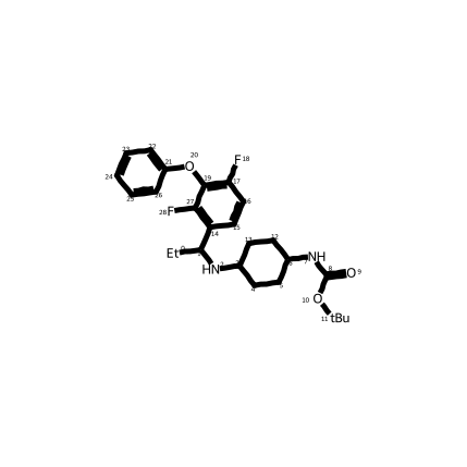 CCC(NC1CCC(NC(=O)OC(C)(C)C)CC1)c1ccc(F)c(Oc2ccccc2)c1F